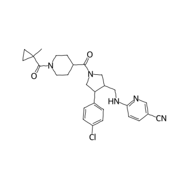 CC1(C(=O)N2CCC(C(=O)N3CC(CNc4ccc(C#N)cn4)C(c4ccc(Cl)cc4)C3)CC2)CC1